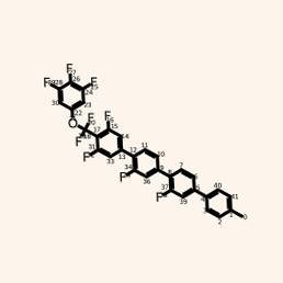 Cc1ccc(-c2ccc(-c3ccc(-c4cc(F)c(C(F)(F)Oc5cc(F)c(F)c(F)c5)c(F)c4)c(F)c3)c(F)c2)cc1